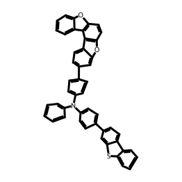 c1ccc(N(c2ccc(-c3ccc4c(c3)oc3ccc5oc6ccccc6c5c34)cc2)c2ccc(-c3ccc4c(c3)sc3ccccc34)cc2)cc1